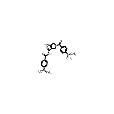 CN(C)c1ccc(C(=O)Nc2n[nH]c3c2CN(C(=O)c2ccc(N(C)C)cc2)C3)cc1